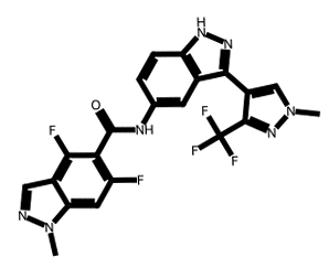 Cn1cc(-c2n[nH]c3ccc(NC(=O)c4c(F)cc5c(cnn5C)c4F)cc23)c(C(F)(F)F)n1